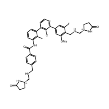 COc1cc(-c2nccc(-c3cccc(NC(=O)c4ccc(CNC[C@H]5CCC(=O)N5)cn4)c3C)c2Cl)cc(F)c1CNC[C@H]1CCC(=O)N1